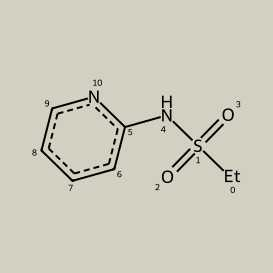 CCS(=O)(=O)Nc1ccccn1